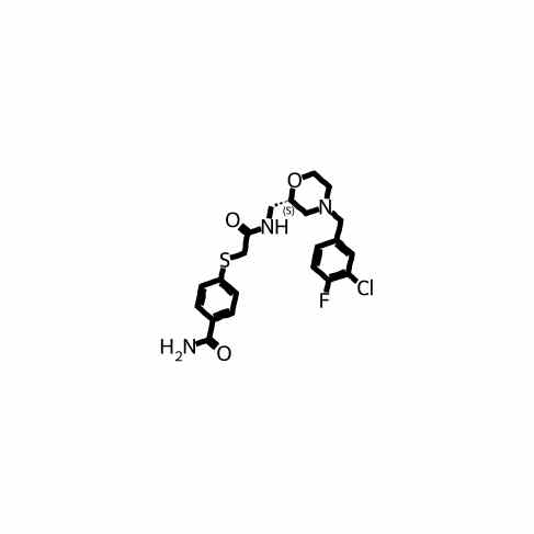 NC(=O)c1ccc(SCC(=O)NC[C@H]2CN(Cc3ccc(F)c(Cl)c3)CCO2)cc1